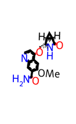 COc1cc2c(OC[C@H]3NC(=O)[C@@H]4C[C@H]34)ccnc2cc1C(N)=O